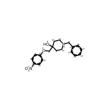 O=[N+]([O-])c1ccc(OCC2(O)CCN(Cc3ccccc3)CC2)cc1